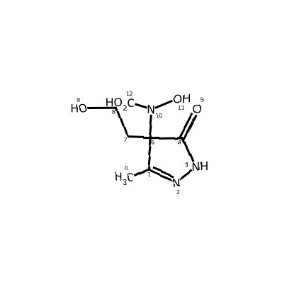 CC1=NNC(=O)C1(CCO)N(O)C(=O)O